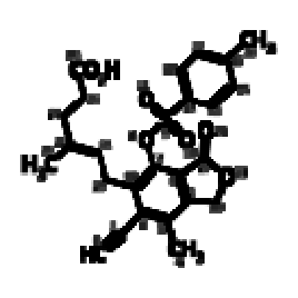 C#Cc1c(C)c2c(c(OS(=O)(=O)c3ccc(C)cc3)c1C/C=C(\C)CCC(=O)O)C(=O)OC2